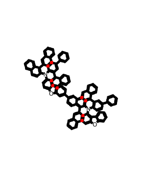 c1ccc(-c2ccc(N(c3ccc4oc5cc(-c6ccc7c(-c8ccc9ccccc9c8)c(N(c8ccc(-c9ccccc9)cc8-c8cccc9ccccc89)c8cccc9oc%10ccccc%10c89)ccc7c6)ccc5c4c3)c3ccc4ccccc4c3-c3ccc4ccccc4c3)c(-c3cccc4ccccc34)c2)cc1